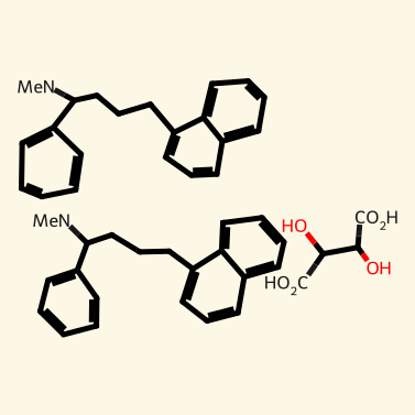 CNC(CCCc1cccc2ccccc12)c1ccccc1.CNC(CCCc1cccc2ccccc12)c1ccccc1.O=C(O)C(O)C(O)C(=O)O